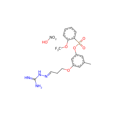 Cc1cc(OCCC=NNC(=N)N)cc(OS(=O)(=O)c2ccccc2OC(F)(F)F)c1.O=[N+]([O-])O